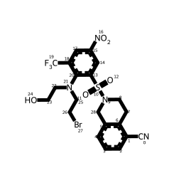 N#Cc1cccc2c1CCN(S(=O)(=O)c1cc([N+](=O)[O-])cc(C(F)(F)F)c1N(CCO)CCBr)C2